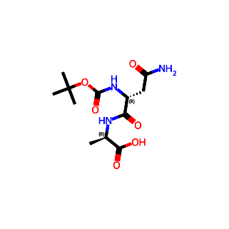 C[C@@H](NC(=O)[C@@H](CC(N)=O)NC(=O)OC(C)(C)C)C(=O)O